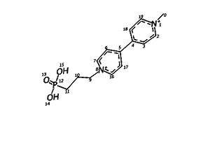 C[n+]1ccc(-c2cc[n+](CCCP(=O)(O)O)cc2)cc1